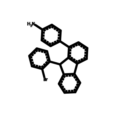 Nc1ccc(-c2cccc3c2C(c2ccccc2Br)c2ccccc2-3)cc1